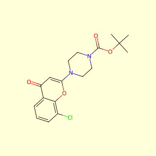 CC(C)(C)OC(=O)N1CCN(c2cc(=O)c3cccc(Cl)c3o2)CC1